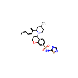 C=C(/C=C\C=C/C)[C@H]1C[C@@H](C(F)(F)F)CCN1[C@H]1CCOc2cc(S(=O)(=O)Nc3ncns3)ccc21